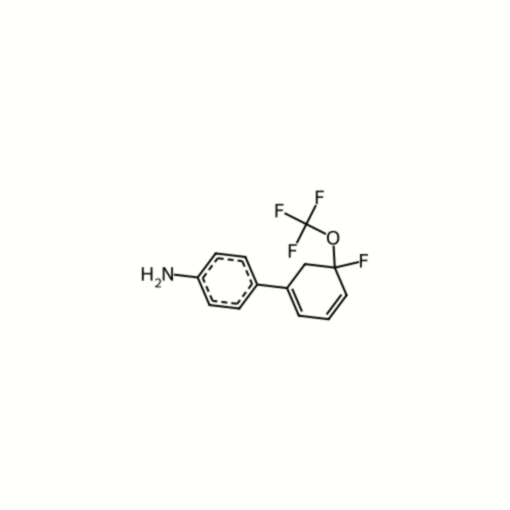 Nc1ccc(C2=CC=CC(F)(OC(F)(F)F)C2)cc1